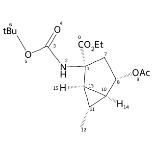 CCOC(=O)[C@]1(NC(=O)OC(C)(C)C)C[C@H](OC(C)=O)[C@H]2[C@H](C)[C@H]21